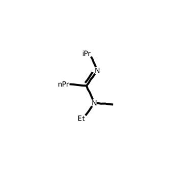 CCC/C(=N\C(C)C)N(C)CC